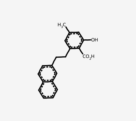 Cc1cc(O)c(C(=O)O)c(CCc2ccc3ccccc3c2)c1